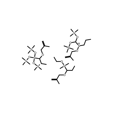 C=C(C)COC(CC)[Si](C)(C)OCC.C=C(C)COC(CC)[Si](O[Si](C)(C)C)(O[Si](C)(C)C)O[Si](C)(C)C.C=C(C)CO[SiH](CCC)C(O[Si](C)(C)C)O[Si](C)(C)C